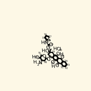 C[C@@H]1O[C@@H](O[C@H]2C[C@](O)(COC(=O)Nc3cccs3)Cc3c(O)c4c(c(O)c32)C(=O)c2ccccc2C4=O)C[C@H](N)[C@H]1O.Cl